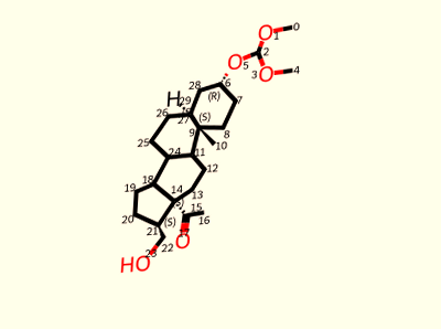 COC(OC)O[C@@H]1CC[C@]2(C)C3CC[C@]4(C(C)=O)C(CC[C@@H]4CO)C3CC[C@H]2C1